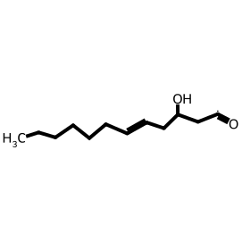 CCCCCCC=CCC(O)C[C]=O